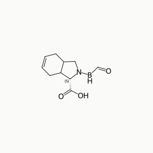 O=CBN1CC2CC=CCC2[C@H]1C(=O)O